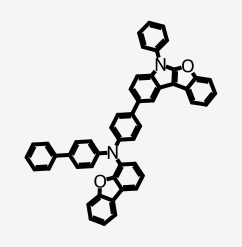 c1ccc(-c2ccc(N(c3ccc(-c4ccc5c(c4)c4c6ccccc6oc4n5-c4ccccc4)cc3)c3cccc4c3oc3ccccc34)cc2)cc1